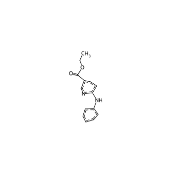 CCOC(=O)c1ccc(Nc2ccccc2)nc1